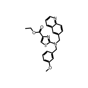 CCOC(=O)c1csc(N(Cc2cccc(OC)c2)Cc2ccc3ncccc3c2)n1